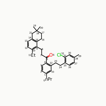 CCCc1ccc(C(=O)CCc2c(CC)ccc3c2CCC(C)(C)C3)c(CCc2ccc(C)cc2Cl)c1